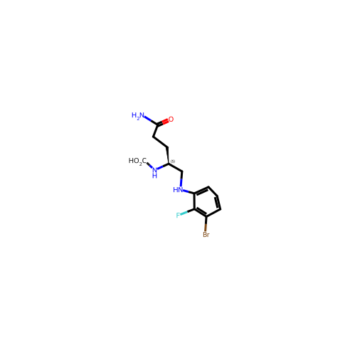 NC(=O)CC[C@@H](CNc1cccc(Br)c1F)NC(=O)O